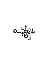 CC1=C(C(=O)O)C(c2cccc(Cl)c2)C(C(=O)OCC=Cc2ccccc2)=C(C#N)N1